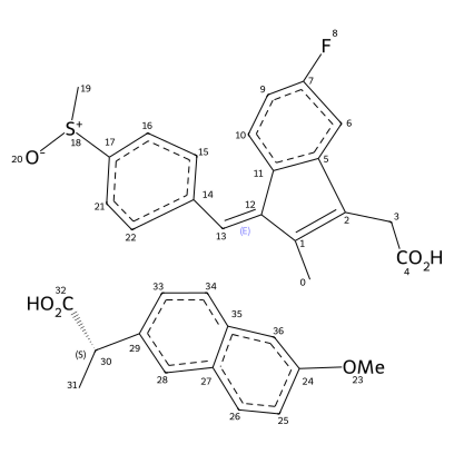 CC1=C(CC(=O)O)c2cc(F)ccc2/C1=C\c1ccc([S+](C)[O-])cc1.COc1ccc2cc([C@H](C)C(=O)O)ccc2c1